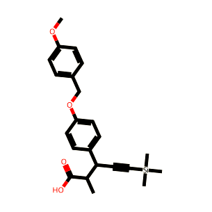 COc1ccc(COc2ccc(C(C#C[Si](C)(C)C)C(C)C(=O)O)cc2)cc1